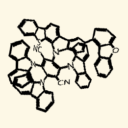 N#Cc1c(-n2c3ccccc3c3ccccc32)c(-n2c3ccccc3c3ccccc32)c(C#N)c(-n2c3ccc(-c4cccc5oc6ccccc6c45)cc3c3ccc4c5ccccc5sc4c32)c1-n1c2ccccc2c2ccccc21